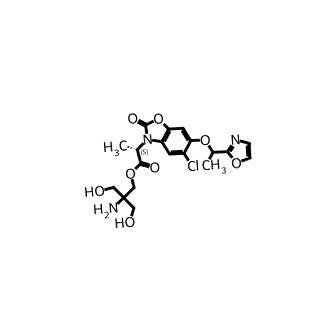 CC(Oc1cc2oc(=O)n([C@@H](C)C(=O)OCC(N)(CO)CO)c2cc1Cl)c1ncco1